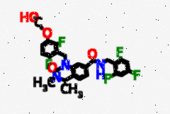 C[C@H]1c2ccc(C(=O)NCc3c(F)cc(F)cc3F)cc2N(Cc2c(F)ccc(OCCO)c2F)C(=O)N1C